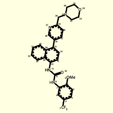 COc1ccc(C(F)(F)F)cc1NC(=O)Nc1ccc(-c2ccc(CN3CCOCC3)nc2)c2ccccc12